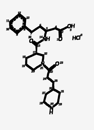 Cl.O=C(O)CC(CCc1ccccc1)NC(=O)[C@@H]1CCCN(C(=O)CCC2CCNCC2)C1